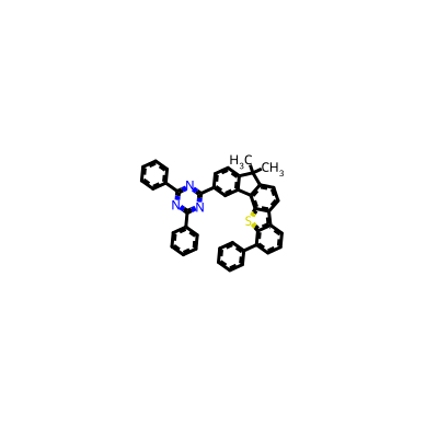 CC1(C)c2ccc(-c3nc(-c4ccccc4)nc(-c4ccccc4)n3)cc2-c2c1ccc1c2sc2c(-c3ccccc3)cccc21